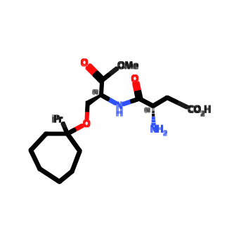 COC(=O)[C@H](COC1(C(C)C)CCCCCC1)NC(=O)[C@@H](N)CC(=O)O